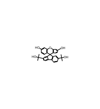 CC(C)(O)c1ccc2c(c1)C1(c3ccc(O)cc3Oc3cc(O)ccc31)c1cc(C(C)(C)O)ccc1-2